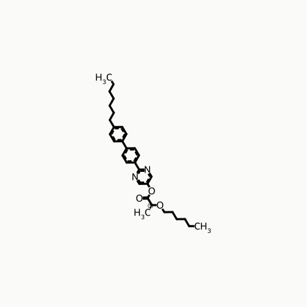 CCCCCCCc1ccc(-c2ccc(-c3ncc(OC(=O)[C@H](C)OCCCCCC)cn3)cc2)cc1